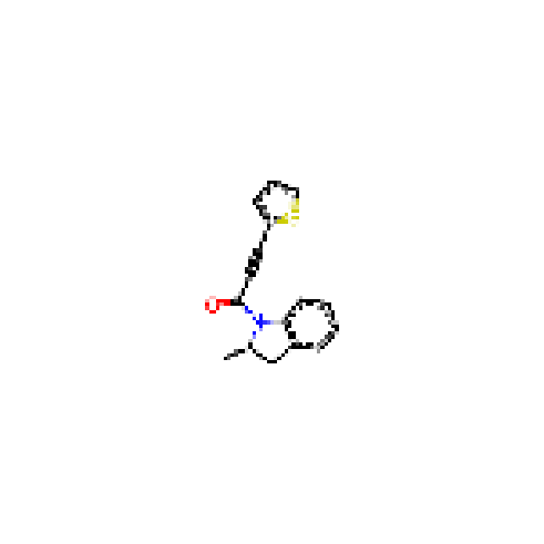 CC1Cc2ccccc2N1C(=O)C#Cc1cccs1